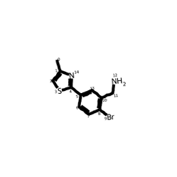 Cc1csc(-c2ccc(Br)c(CN)c2)n1